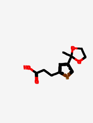 CC1(c2csc(CCC(=O)O)c2)OCCO1